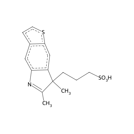 CC1=Nc2cc3ccsc3cc2C1(C)CCCS(=O)(=O)O